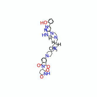 CC1(CN2C[C@@H]3[C@@H](CN4CCN5c6cc(-c7ccccc7O)nnc6NC[C@H]5C4)[C@@H]3C2)CCN(c2ccc3c(c2)C(=O)N(C2CCC(=O)NC2=O)C3=O)CC1